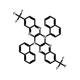 FC(F)(F)c1ccc2nc3c(nc2c1)N(c1cccc2ccccc12)c1nc2ccc(C(F)(F)F)cc2nc1N3c1cccc2ccccc12